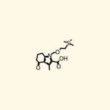 Cc1c2c(n(COCC[Si](C)(C)C)c1C(=O)O)CCCC2=O